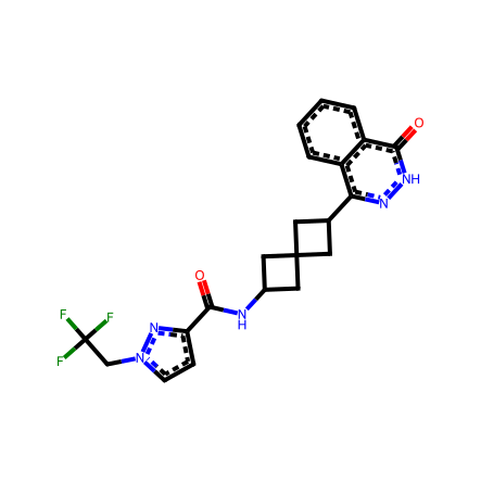 O=C(NC1CC2(C1)CC(c1n[nH]c(=O)c3ccccc13)C2)c1ccn(CC(F)(F)F)n1